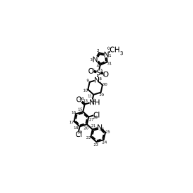 Cn1cnc(S(=O)(=O)N2CCC(NC(=O)c3ccc(Cl)c(-c4ccccn4)c3Cl)CC2)c1